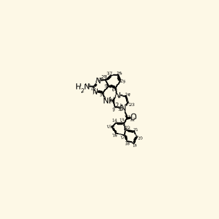 Nc1nc(N)c2c(N3CCN(C(=O)c4cccc5ccccc45)CC3)cccc2n1